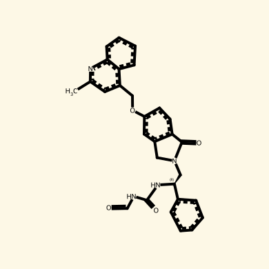 Cc1cc(COc2ccc3c(c2)CN(C[C@H](NC(=O)NC=O)c2ccccc2)C3=O)c2ccccc2n1